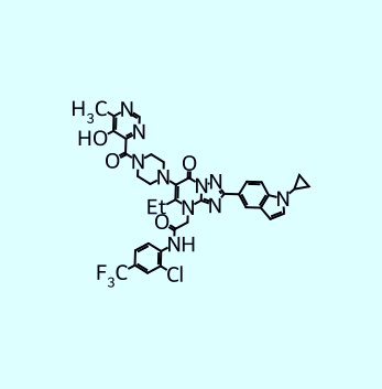 CCc1c(N2CCN(C(=O)c3ncnc(C)c3O)CC2)c(=O)n2nc(-c3ccc4c(ccn4C4CC4)c3)nc2n1CC(=O)Nc1ccc(C(F)(F)F)cc1Cl